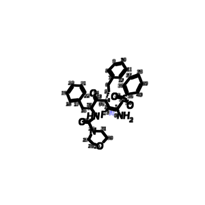 N/C(=C(\F)[C@@H](CCc1ccccc1)C(=O)[C@H](Cc1ccccc1)NC(=O)N1CCOCC1)S(=O)(=O)c1ccccc1